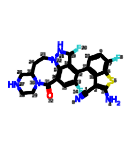 N#Cc1c(N)sc2c(F)ccc(-c3c(F)cc4c5c3C(F)NN5CCC3CNCCN3C4=O)c12